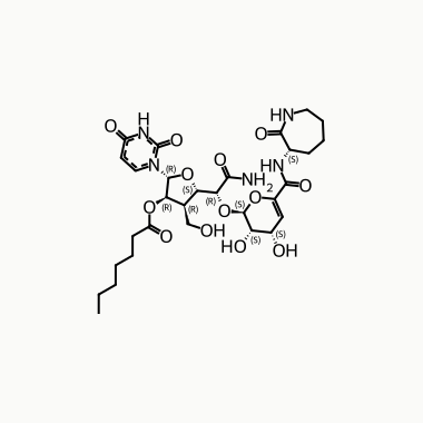 CCCCCCC(=O)O[C@@H]1[C@H](CO)[C@@H]([C@@H](O[C@H]2OC(C(=O)N[C@H]3CCCCNC3=O)=C[C@H](O)[C@@H]2O)C(N)=O)O[C@H]1n1ccc(=O)[nH]c1=O